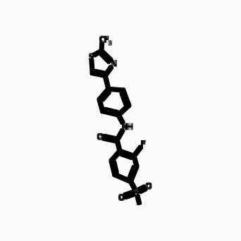 CS(=O)(=O)c1ccc(C(=O)Nc2ccc(-c3csc(C(F)(F)F)n3)cc2)c(F)c1